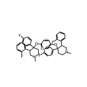 CN1CCC(OC(=O)/C=C\C(=O)OC2(c3ccc(F)cc3)CCN(C)CC2c2ccccc2F)(c2ccc(F)cc2)C(c2ccccc2F)C1